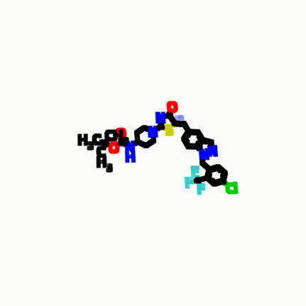 CC(C)(C)OC(=O)NC1CCN(C2=NC(=O)/C(=C/c3ccc4c(cnn4Cc4ccc(Cl)cc4C(F)(F)F)c3)S2)CC1